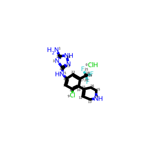 Cl.Nc1nc(Nc2cc(Cl)c(C3=CCNCC3)c(C(F)(F)F)c2)n[nH]1